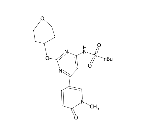 CCCCS(=O)(=O)Nc1cc(-c2ccc(=O)n(C)c2)nc(OC2CCOCC2)n1